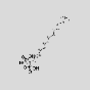 CCCCCCCCCCCCCCC(P(=O)(O)O)P(=O)(O)O